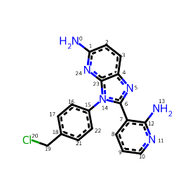 Nc1ccc2nc(-c3cccnc3N)n(-c3ccc(CCl)cc3)c2n1